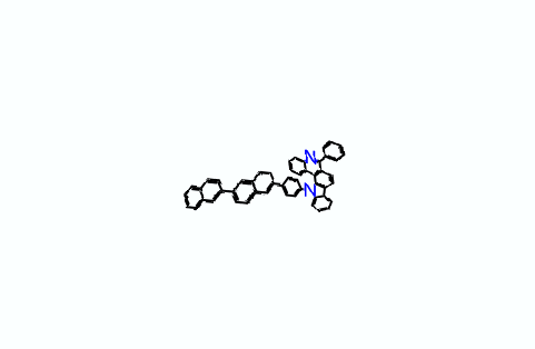 c1ccc(-c2nc3ccccc3c3c2ccc2c4ccccc4n(-c4ccc(-c5ccc6cc(-c7ccc8ccccc8c7)ccc6c5)cc4)c23)cc1